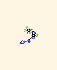 CN1CCN(CCn2cc(CNc3cc(Cl)c4ncc(C#N)c(Nc5ccc(F)c(Cl)c5)c4c3)nn2)CC1